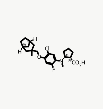 CN(c1cc(Cl)c(OCC2(C)C[C@@H]3CC[C@@H](C3)C2)cc1F)[C@@H]1CCC[C@H]1C(=O)O